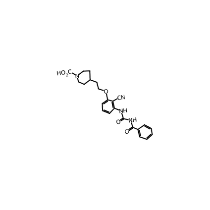 N#Cc1c(NC(=O)NC(=O)c2ccccc2)cccc1OCCC1CCN(C(=O)O)CC1